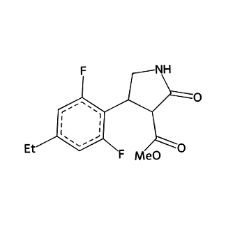 CCc1cc(F)c(C2CNC(=O)C2C(=O)OC)c(F)c1